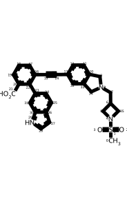 CS(=O)(=O)N1CC(CN2Cc3ccc(C#Cc4cccc(C(=O)O)c4-c4ccc5cc[nH]c5c4)cc3C2)C1